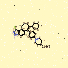 O=CC1CCN(c2ccc(C3=C(C4CCCCC4)CCCc4c3ccc3[nH]nc(F)c43)cc2)CC1